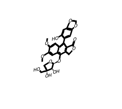 COc1cc2c(O[C@@H]3OC[C@](O)(CO)[C@H]3O)c3c(c(-c4cc5c(cc4O)OCO5)c2cc1OC)C(=O)OC3